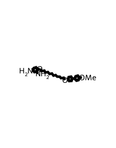 COc1ccc(-c2ccc(OCCCCCCCCCCCCOc3ccc(N)cc3N)cc2)cc1